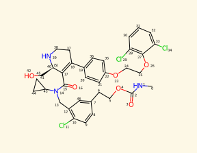 CNC(=O)OCCc1ccc(Cl)c(CN(C(=O)C2=C(c3ccc(OCCOc4c(Cl)cccc4Cl)cc3)CCN[C@@H]2CO)C2CC2)c1